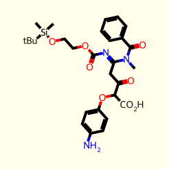 CN(C(=O)c1ccccc1)C(CC(=O)C(Oc1ccc(N)cc1)C(=O)O)=NC(=O)OCCO[Si](C)(C)C(C)(C)C